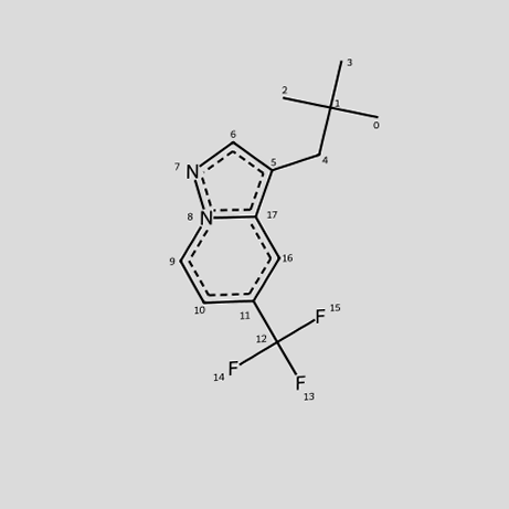 CC(C)(C)Cc1cnn2ccc(C(F)(F)F)cc12